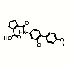 COc1ccc(-c2ccc(NC(=O)C3=C(C(=O)O)CCC3)cc2Cl)cc1